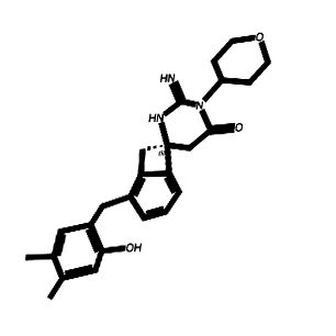 Cc1cc(O)c(Cc2cccc3c2C[C@]32CC(=O)N(C3CCOCC3)C(=N)N2)cc1C